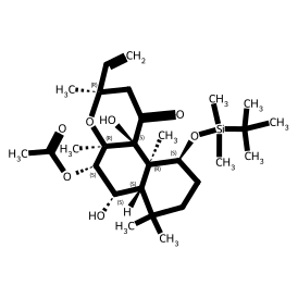 C=C[C@@]1(C)CC(=O)[C@]2(O)[C@@]3(C)[C@@H](O[Si](C)(C)C(C)(C)C)CCC(C)(C)[C@@H]3[C@H](O)[C@H](OC(C)=O)[C@@]2(C)O1